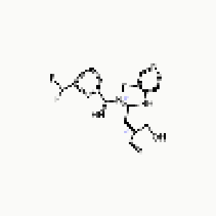 C=C/C(=C/C(=N\C(=N)c1cccc(C(F)F)n1)Nc1ccncc1F)CO